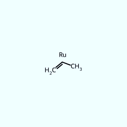 C=CC.[Ru]